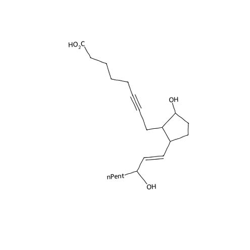 CCCCCC(O)C=CC1CCC(O)C1CC#CCCCCC(=O)O